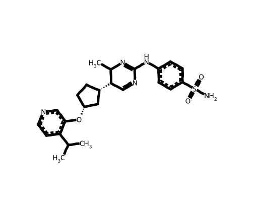 CC(C)c1ccncc1O[C@@H]1CC[C@H](C2C=NC(Nc3ccc(S(N)(=O)=O)cc3)=NC2C)C1